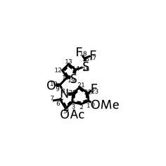 COc1cc2c(OC(C)=O)c(C)n(C(=O)c3ccc(SC(F)F)s3)c2cc1F